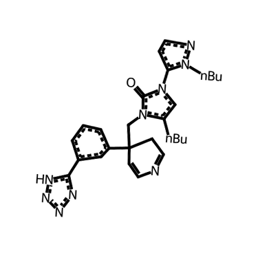 CCCCc1cn(-c2ccnn2CCCC)c(=O)n1CC1(c2cccc(-c3nnn[nH]3)c2)C=CN=CC1